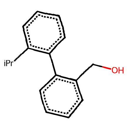 CC(C)c1ccccc1-c1ccccc1CO